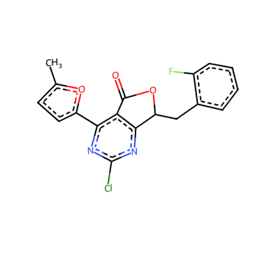 Cc1ccc(-c2nc(Cl)nc3c2C(=O)OC3Cc2ccccc2F)o1